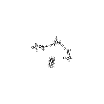 CN1Cc2c(Cl)cc(Cl)cc2C(c2ccc(S(=O)(=O)NCCOCCOCCNC(=O)c3cc(N)cc(C(=O)NCCOCCOCCNS(=O)(=O)c4ccc(C5CN(C)Cc6c(Cl)cc(Cl)cc65)cc4)c3)cc2)C1.O=C(O)C(F)(F)F.O=C(O)C(F)(F)F.O=C(O)C(F)(F)F